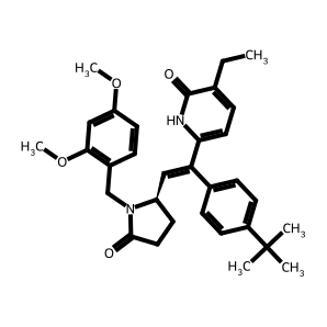 CCc1ccc(C(=C[C@H]2CCC(=O)N2Cc2ccc(OC)cc2OC)c2ccc(C(C)(C)C)cc2)[nH]c1=O